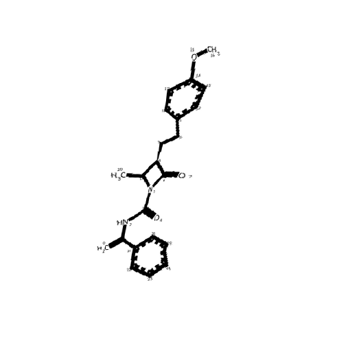 C=C(NC(=O)N1C(=O)[C@H](CCc2ccc(OC)cc2)C1C)c1ccccc1